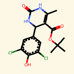 CC1=C(C(=O)OC(C)(C)C)C(c2cc(Cl)c(O)c(Cl)c2)NC(=O)N1